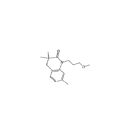 COCCCN1C(=O)C(C)(C)Cc2ccc(C)cc21